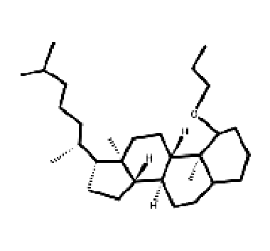 CCCOC1CCCC2CC[C@@H]3[C@H](CC[C@]4(C)[C@@H]([C@H](C)CCCC(C)C)CC[C@@H]34)[C@]21C